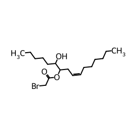 CCCCCC/C=C\CC(OC(=O)CBr)C(O)CCCCC